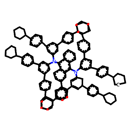 C1=C(c2ccc(C3CCCCC3)cc2)C=C(N(c2cc(-c3ccc(C4CCCCC4)cc3)cc(-c3ccc(C4CCCCC4)cc3)c2)c2c3ccccc3c(N(c3cc(-c4ccc(C5CCCCC5)cc4)cc(-c4ccc(C5CCCCC5)cc4)c3)c3cc(-c4ccc(C5CCCCC5)cc4)cc(-c4ccc(C5CCCCC5)cc4)c3)c3ccc(-c4ccccc4)cc23)CC1c1ccc(C2CCCCC2)cc1